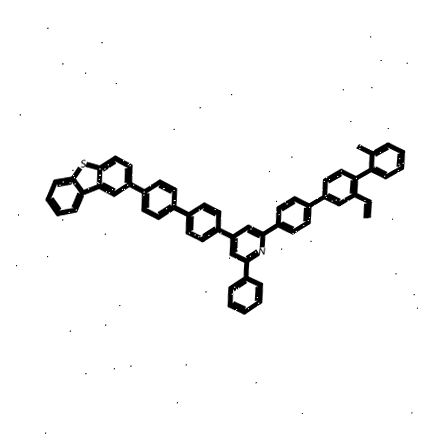 C=Cc1cc(-c2ccc(-c3cc(-c4ccc(-c5ccc(-c6ccc7sc8ccccc8c7c6)cc5)cc4)cc(-c4ccccc4)n3)cc2)ccc1-c1ccccc1C